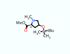 COC(=O)[C@@H]1CC(O[Si](C)(C)C(C)(C)C)CN1C